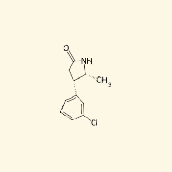 C[C@H]1NC(=O)C[C@H]1c1cccc(Cl)c1